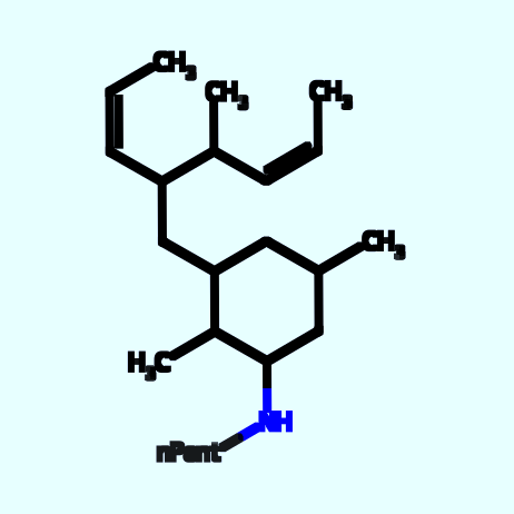 C/C=C\C(C)C(/C=C\C)CC1CC(C)CC(NCCCCC)C1C